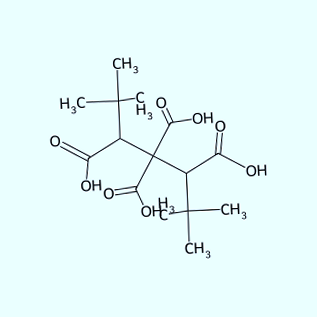 CC(C)(C)C(C(=O)O)C(C(=O)O)(C(=O)O)C(C(=O)O)C(C)(C)C